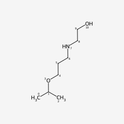 CC(C)OCCCNCCO